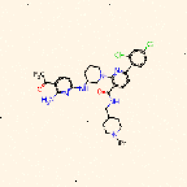 CC(C)N1CCC(CNC(=O)c2ccc(-c3ccc(Cl)cc3Cl)nc2N2CCCC(Nc3ccc(C(=O)C(F)(F)F)c(N)n3)C2)CC1